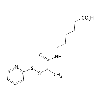 CC(SSc1ccccn1)C(=O)NCCCCCC(=O)O